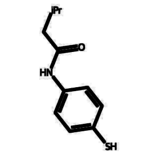 CC(C)CC(=O)Nc1ccc(S)cc1